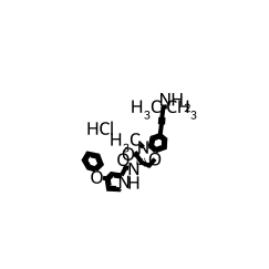 CN1C(=O)[C@@H](NC(=O)c2cc(Oc3ccccc3)ccn2)COc2ccc(C#CC(C)(C)N)cc21.Cl